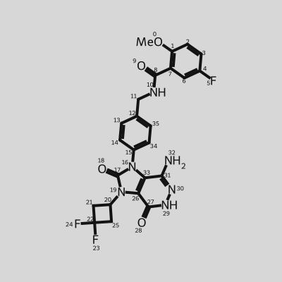 COc1ccc(F)cc1C(=O)NCc1ccc(-n2c(=O)n(C3CC(F)(F)C3)c3c(=O)[nH]nc(N)c32)cc1